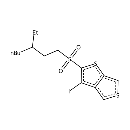 CCCCC(CC)CCS(=O)(=O)c1sc2cscc2c1I